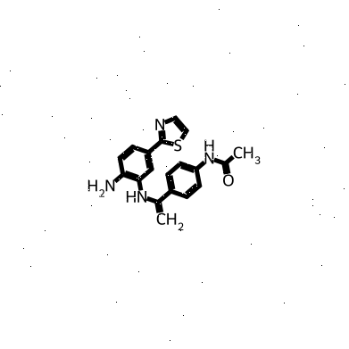 C=C(Nc1cc(-c2nccs2)ccc1N)c1ccc(NC(C)=O)cc1